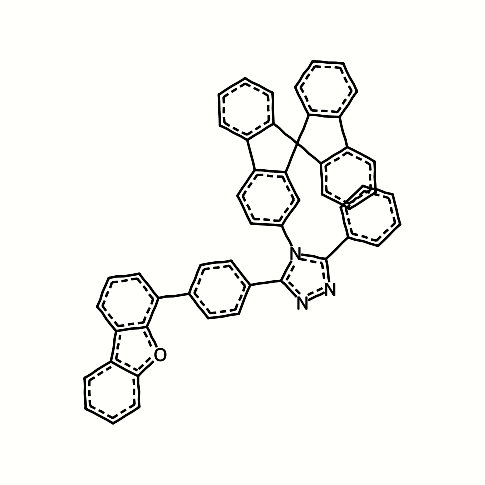 c1ccc(-c2nnc(-c3ccc(-c4cccc5c4oc4ccccc45)cc3)n2-c2ccc3c(c2)C2(c4ccccc4-c4ccccc42)c2ccccc2-3)cc1